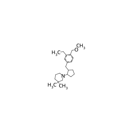 CCc1cc(CC2CCCC2N2CCCC(C)(C)C2)ccc1COC